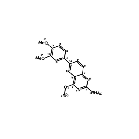 CCCOc1nc(NC(C)=O)nc2ccc(-c3ccc(OC)c(OC)c3)cc12